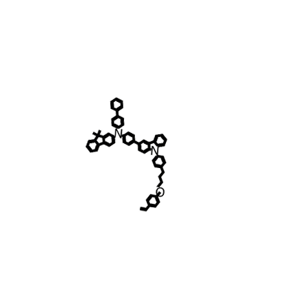 C=Cc1ccc(OCCCCc2ccc(-n3c4ccccc4c4cc(-c5ccc(N(c6ccc(-c7ccccc7)cc6)c6ccc7c(c6)C(C)(C)c6ccccc6-7)cc5)ccc43)cc2)cc1